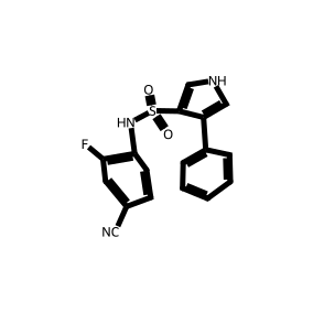 N#Cc1ccc(NS(=O)(=O)c2c[nH]cc2-c2ccccc2)c(F)c1